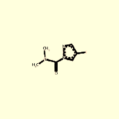 CN(C)C(=O)n1cc(I)cn1